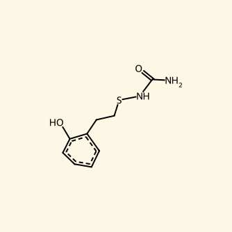 NC(=O)NSCCc1ccccc1O